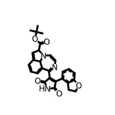 CC(C)(C)OC(=O)C1C=C2C=CC=C3C(C4=C(c5cccc6c5CCO6)C(=O)NC4=O)=NC=CN1C23